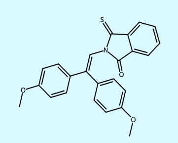 COc1ccc(C(=CN2C(=O)c3ccccc3C2=S)c2ccc(OC)cc2)cc1